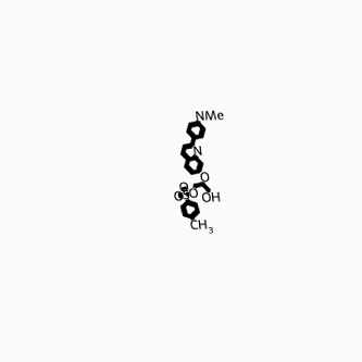 CNc1ccc(-c2ccc3ccc(OC(CO)COS(=O)(=O)c4ccc(C)cc4)cc3n2)cc1